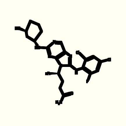 CCC[C@@H](CCC(N)=O)n1c(Nc2c(F)cc(Cl)cc2Cl)nc2cnc(N[C@@H]3CCC[C@H](O)C3)nc21